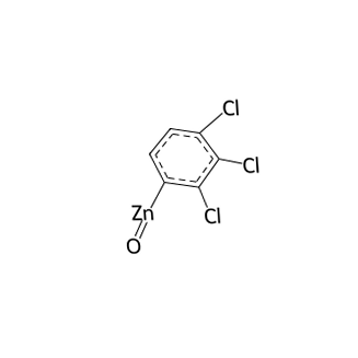 [O]=[Zn][c]1ccc(Cl)c(Cl)c1Cl